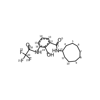 O=C(NC1CCCCCCCC1)c1cccc(NC(=O)C(F)(F)F)c1O